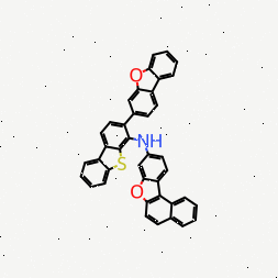 c1ccc2c(c1)ccc1oc3cc(Nc4c(-c5ccc6c(c5)oc5ccccc56)ccc5c4sc4ccccc45)ccc3c12